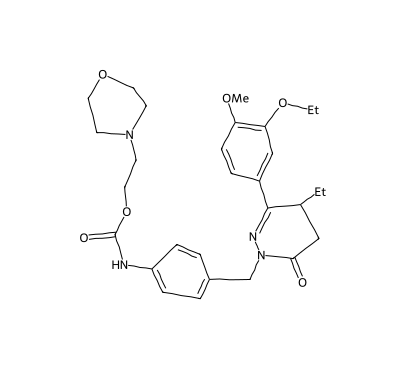 CCOc1cc(C2=NN(Cc3ccc(NC(=O)OCCN4CCOCC4)cc3)C(=O)CC2CC)ccc1OC